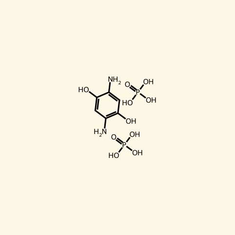 Nc1cc(O)c(N)cc1O.O=P(O)(O)O.O=P(O)(O)O